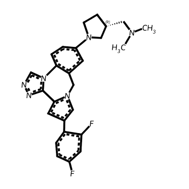 CN(C)C[C@H]1CCN(c2ccc3c(c2)Cn2cc(-c4ccc(F)cc4F)cc2-c2nncn2-3)C1